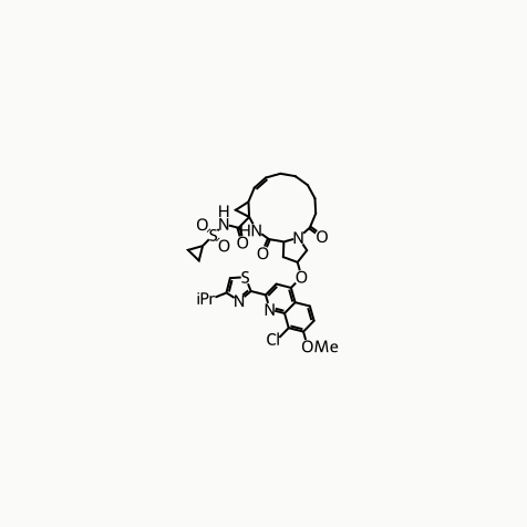 COc1ccc2c(OC3CC4C(=O)NC5(C(=O)NS(=O)(=O)C6CC6)CC5/C=C\CCCCCC(=O)N4C3)cc(-c3nc(C(C)C)cs3)nc2c1Cl